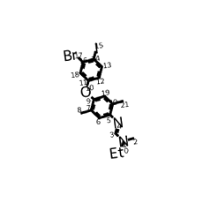 CCN(C)C=Nc1cc(C)c(Oc2ccc(I)c(Br)c2)cc1C